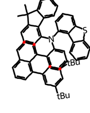 CC(C)(C)c1cc(-c2cccc3cccc(-c4ccccc4N(c4cccc5c4-c4ccccc4C5(C)C)c4cccc5sc6ccccc6c45)c23)cc(C(C)(C)C)c1